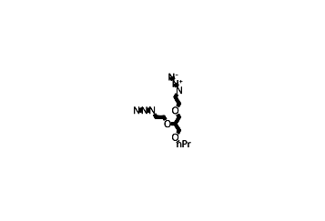 CCCOCC(COCCN=[N+]=[N-])OCCN=[N+]=[N-]